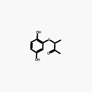 CC(=O)C(C)Sc1cc(O)ccc1O